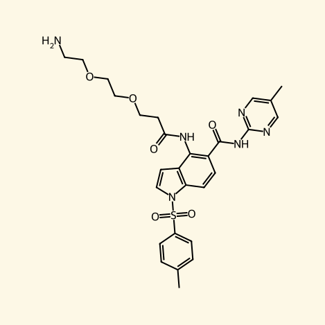 Cc1ccc(S(=O)(=O)n2ccc3c(NC(=O)CCOCCOCCN)c(C(=O)Nc4ncc(C)cn4)ccc32)cc1